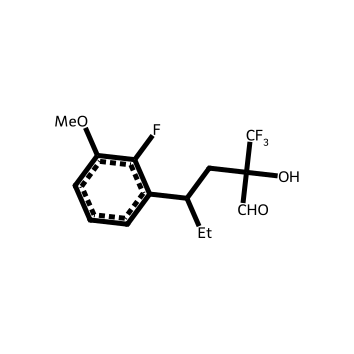 CCC(CC(O)(C=O)C(F)(F)F)c1cccc(OC)c1F